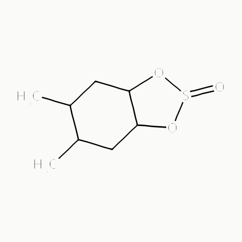 CC1CC2OS(=O)OC2CC1C